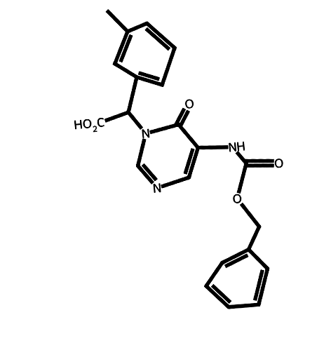 Cc1cccc(C(C(=O)O)n2cncc(NC(=O)OCc3ccccc3)c2=O)c1